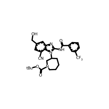 CC(C)(C)OC(=O)N1CCCCC(n2c(NC(=O)c3cccc(C(F)(F)F)c3)nc3cc(CO)cc(C#N)c32)C1